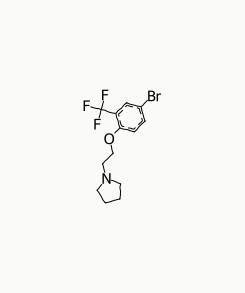 FC(F)(F)c1cc(Br)ccc1OCCN1CCCC1